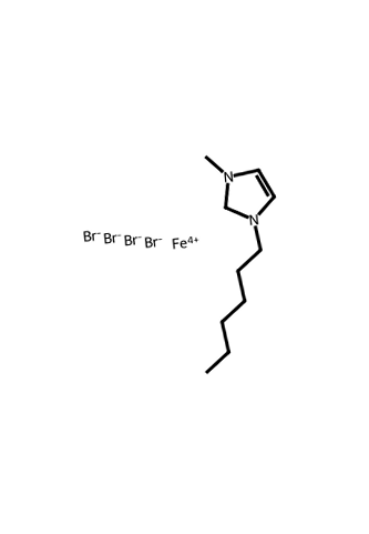 CCCCCCN1C=CN(C)C1.[Br-].[Br-].[Br-].[Br-].[Fe+4]